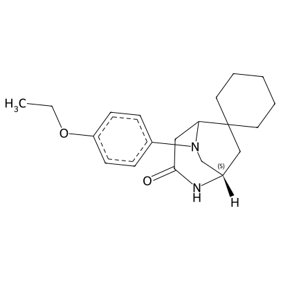 CCOc1ccc(N2C[C@@H]3CC4(CCCCC4)C2CC(=O)N3)cc1